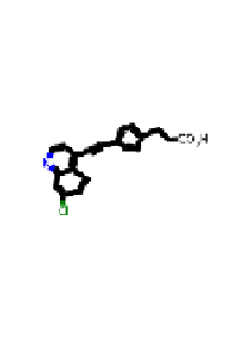 O=C(O)CCc1ccc(C#Cc2ccnc3cc(Cl)ccc23)cc1